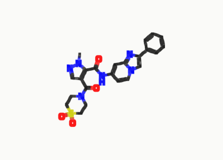 Cn1ncc(C(=O)N2CCS(=O)(=O)CC2)c1C(=O)Nc1ccn2cc(-c3ccccc3)nc2c1